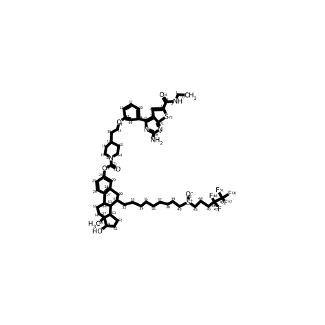 CCNC(=O)c1cc2c(-c3cccc(OCCC4CCN(C(=O)Oc5ccc6c(c5)CC(CCCCCCCCC[S+]([O-])CCCC(F)(F)C(F)(F)F)C5C6CCC6(C)C(O)CCC56)CC4)c3)nc(N)nc2s1